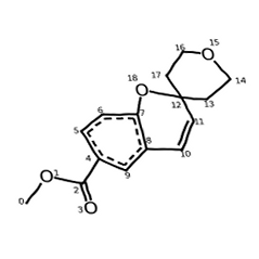 COC(=O)c1ccc2c(c1)C=CC1(CCOCC1)O2